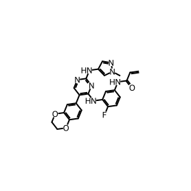 C=CC(=O)Nc1ccc(F)c(Nc2nc(Nc3cnn(C)c3)ncc2-c2ccc3c(c2)OCCO3)c1